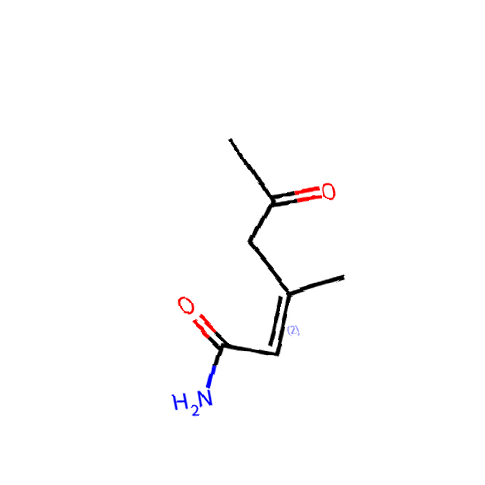 CC(=O)C/C(C)=C\C(N)=O